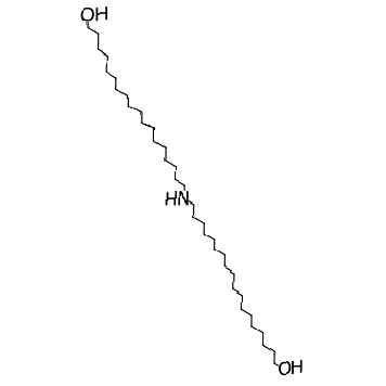 OCCCCCCCCCCCCCCCCCCNCCCCCCCCCCCCCCCCCCO